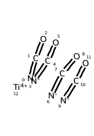 [N-]=C=O.[N-]=C=O.[N-]=C=O.[N-]=C=O.[Ti+4]